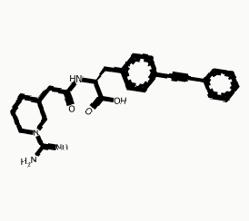 N=C(N)N1CCCC(CC(=O)N[C@@H](Cc2ccc(C#Cc3ccccc3)cc2)C(=O)O)C1